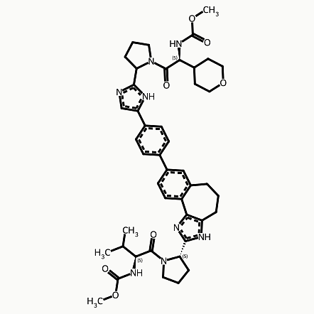 COC(=O)N[C@H](C(=O)N1CCC[C@H]1c1nc2c([nH]1)CCCc1cc(-c3ccc(-c4cnc(C5CCCN5C(=O)[C@@H](NC(=O)OC)C5CCOCC5)[nH]4)cc3)ccc1-2)C(C)C